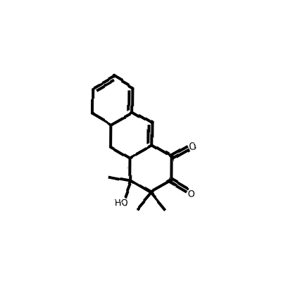 CC1(C)C(=O)C(=O)C2=CC3=CC=CCC3CC2C1(C)O